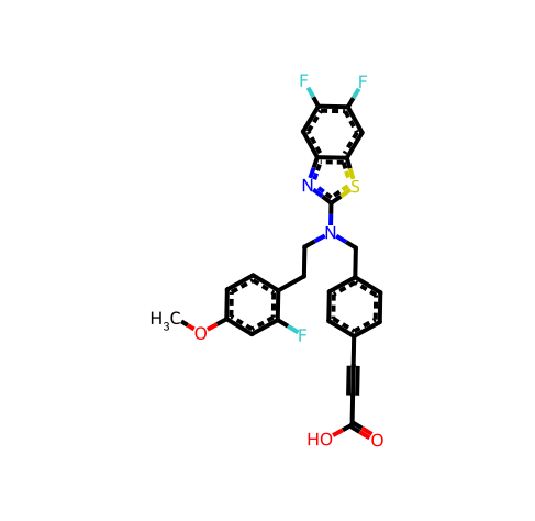 COc1ccc(CCN(Cc2ccc(C#CC(=O)O)cc2)c2nc3cc(F)c(F)cc3s2)c(F)c1